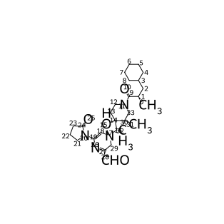 C[C@H](CC1CCCCC1)C(=O)N1CCC(O)(CN2C=C(N3CCCC3=O)N=C(C=O)C2)C(C)(C)C1